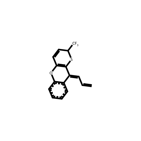 C=CC=C1C2=C(C=CC(C(F)(F)F)S2)Oc2ccccc21